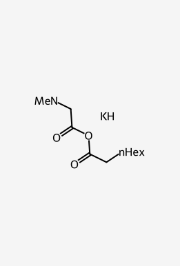 CCCCCCCC(=O)OC(=O)CNC.[KH]